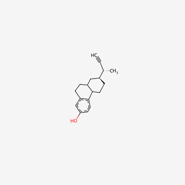 C#C[C@H](C)[C@H]1CCC2c3ccc(O)cc3CCC2C1